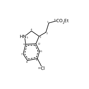 CCOC(=O)CCC1CNc2ccc(Cl)cc21